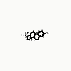 CC[C@]12CCC3=C(CCc4cc(O)ccc43)[C@@H]1CC[C@@H]2O